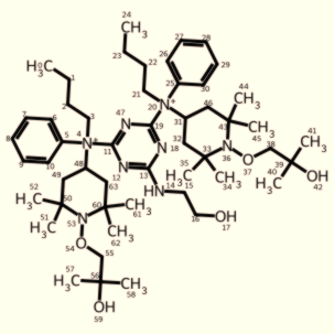 CCCC[N+](c1ccccc1)(c1nc(NCCO)nc([N+](CCCC)(c2ccccc2)C2CC(C)(C)N(OCC(C)(C)O)C(C)(C)C2)n1)C1CC(C)(C)N(OCC(C)(C)O)C(C)(C)C1